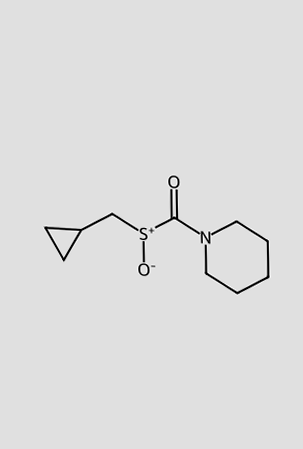 O=C(N1CCCCC1)[S+]([O-])CC1CC1